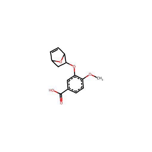 COc1ccc(C(=O)O)cc1OC1CC2C=CC1O2